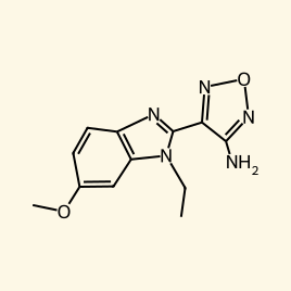 CCn1c(-c2nonc2N)nc2ccc(OC)cc21